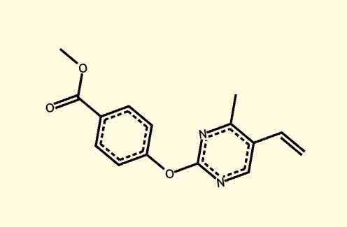 C=Cc1cnc(Oc2ccc(C(=O)OC)cc2)nc1C